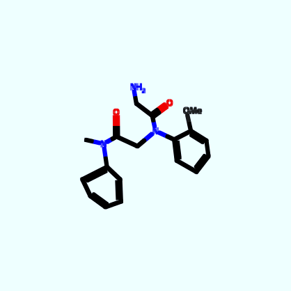 COc1ccccc1N(CC(=O)N(C)c1ccccc1)C(=O)CN